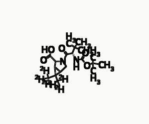 [2H]C([2H])([2H])C1(C([2H])([2H])[2H])C2CN(C(=O)[C@@H](NC(=O)OC(C)(C)C)C(C)(C)C)C(C(=O)O)C21